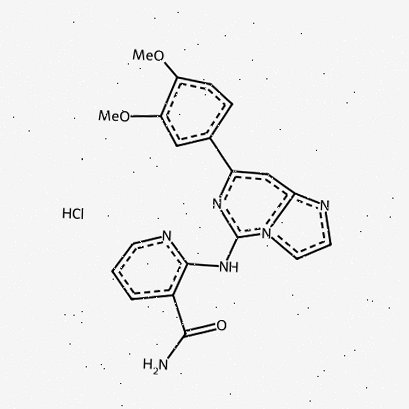 COc1ccc(-c2cc3nccn3c(Nc3ncccc3C(N)=O)n2)cc1OC.Cl